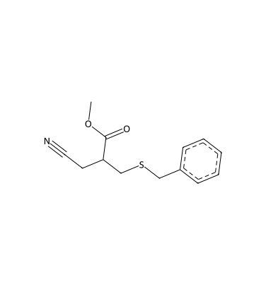 COC(=O)C(CC#N)CSCc1ccccc1